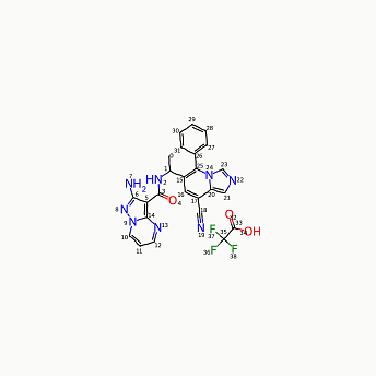 CC(NC(=O)c1c(N)nn2cccnc12)c1cc(C#N)c2cncn2c1-c1ccccc1.O=C(O)C(F)(F)F